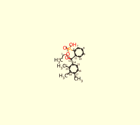 CCOP(=O)(O)c1ccccc1C(=O)c1ccc(C)c(C)c1C